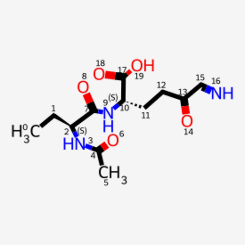 CC[C@H](NC(C)=O)C(=O)N[C@@H](CCC(=O)C=N)C(=O)O